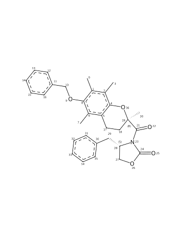 Cc1c(C)c2c(c(C)c1OCc1ccccc1)CC[C@](C)(C(=O)N1C(=O)OC[C@@H]1Cc1ccccc1)O2